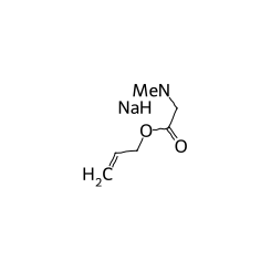 C=CCOC(=O)CNC.[NaH]